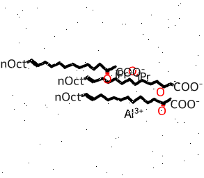 CC(C)OC(C)C.CCCCCCCCC=CCCCCCCCCCC(=O)CC(=O)[O-].CCCCCCCCC=CCCCCCCCCCC(=O)CC(=O)[O-].CCCCCCCCC=CCCCCCCCCCC(=O)CC(=O)[O-].[Al+3]